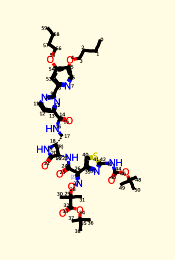 CCCCOc1cnc(-c2nccc(C(=O)NC[C@H]3NC(=O)[C@H]3NC(=O)/C(=N\OC(C)(C)C(=O)OC(C)(C)C)c3csc(NC(=O)OC(C)(C)C)n3)n2)cc1OCCCC